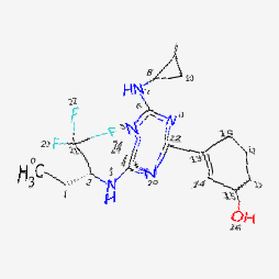 CC[C@@H](Nc1nc(NC2CC2)nc(C2=CC(O)CCC2)n1)C(F)(F)F